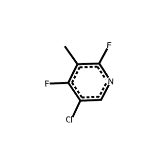 Cc1c(F)ncc(Cl)c1F